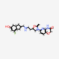 C=C1OC(CCNCC2CC3=C(F)C=C(O)CC3C2)CN1c1ccc2c(n1)NC(=O)CO2